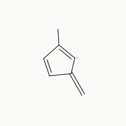 C=C1[C]=C(C)C=C1